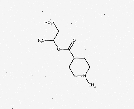 CN1CCC(C(=O)OC(CS(=O)(=O)O)C(F)(F)F)CC1